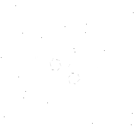 CCOC(=O)C(C)(C)Oc1ccccc1C(=O)c1ccc(CBr)cc1